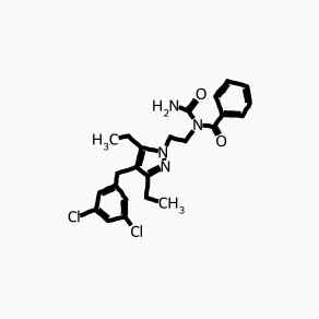 CCc1nn(CCN(C(N)=O)C(=O)c2ccccc2)c(CC)c1Cc1cc(Cl)cc(Cl)c1